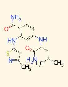 Cc1cc(Nc2cc(N[C@H](CC(C)C)C(N)=O)ccc2C(N)=O)sn1